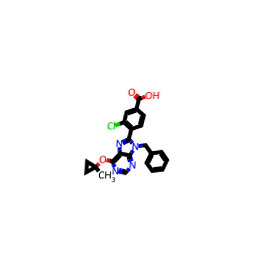 CC1(Oc2ncnc3c2nc(-c2ccc(C(=O)O)cc2Cl)n3Cc2ccccc2)CC1